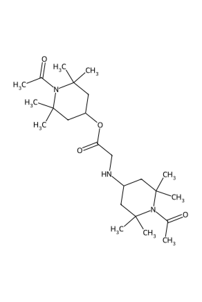 CC(=O)N1C(C)(C)CC(NCC(=O)OC2CC(C)(C)N(C(C)=O)C(C)(C)C2)CC1(C)C